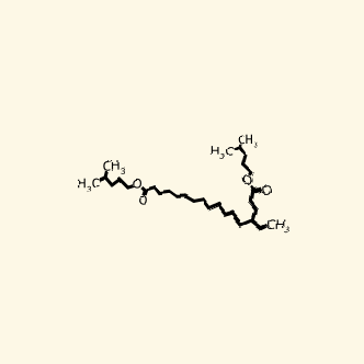 CCC(CCCCCCCCCCCCC(=O)OCCCC(C)C)CCC(=O)OCCCC(C)C